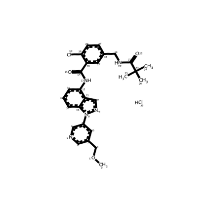 COCc1cncc(-n2ncc3c(NC(=O)c4cc(CNC(=O)C(C)(C)C)ccc4Cl)cccc32)c1.Cl